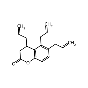 C=CCc1ccc2c(c1CC=C)C(CC=C)CC(=O)O2